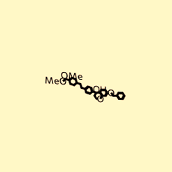 COC(OC)C1CCC(CCc2ccc(C3(O)CCOc4cc(OCc5ccccc5)ccc43)cc2)CC1